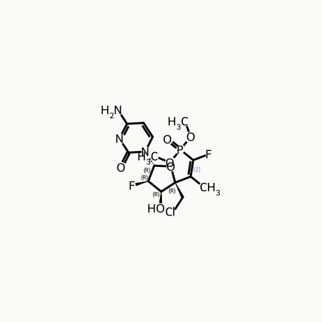 COP(=O)(OC)/C(F)=C(/C)[C@@]1(CCl)O[C@@H](n2ccc(N)nc2=O)[C@H](F)[C@@H]1O